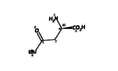 CC(C)(C)C(=O)C[C@@H](N)C(=O)O